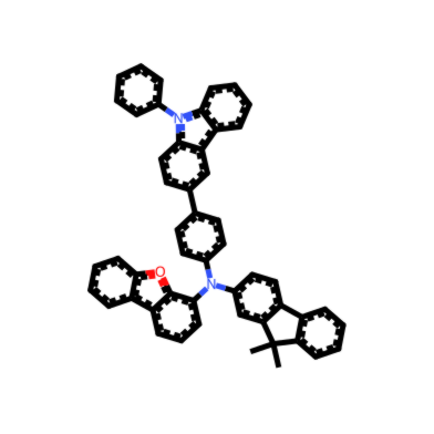 CC1(C)c2ccccc2-c2ccc(N(c3ccc(-c4ccc5c(c4)c4ccccc4n5-c4ccccc4)cc3)c3cccc4c3oc3ccccc34)cc21